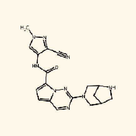 Cn1cc(NC(=O)c2ccc3cnc(N4CC5CNC(C5)C4)nn23)c(C#N)n1